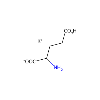 NC(CCC(=O)O)C(=O)[O-].[K+]